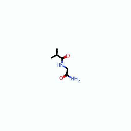 CC(C)C(=O)NCC(N)=O